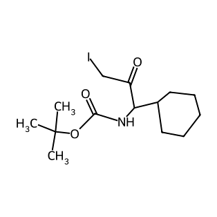 CC(C)(C)OC(=O)NC(C(=O)CI)C1CCCCC1